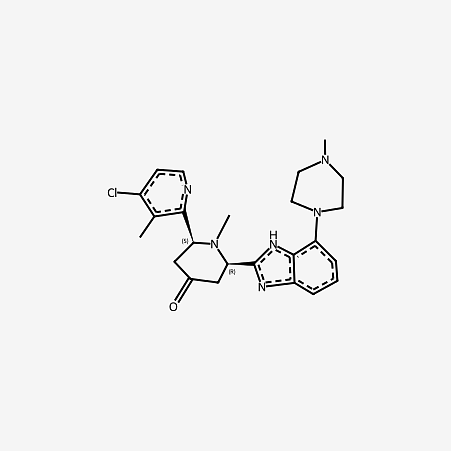 Cc1c(Cl)ccnc1[C@@H]1CC(=O)C[C@H](c2nc3cccc(N4CCN(C)CC4)c3[nH]2)N1C